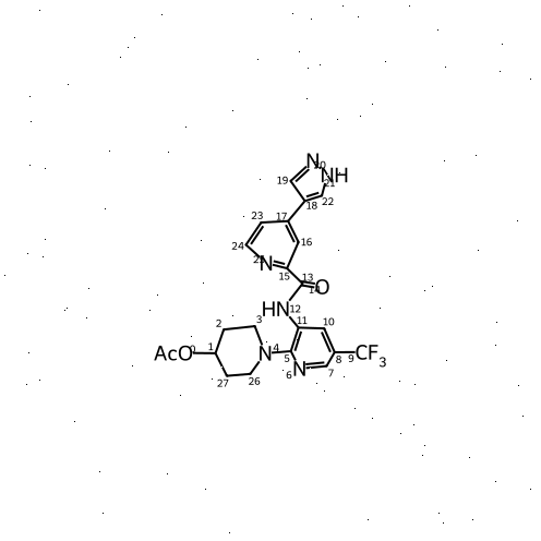 CC(=O)OC1CCN(c2ncc(C(F)(F)F)cc2NC(=O)c2cc(-c3cn[nH]c3)ccn2)CC1